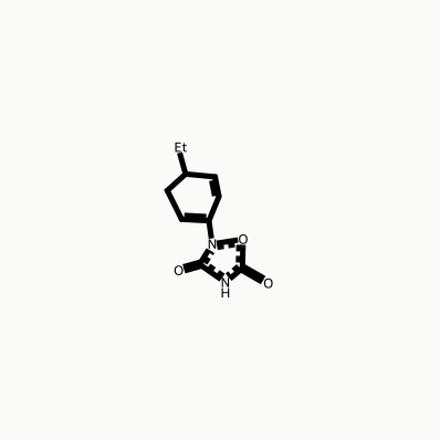 CCC1C=CC(n2oc(=O)[nH]c2=O)=CC1